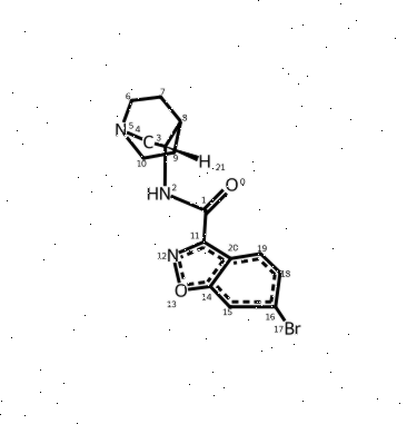 O=C(N[C@@H]1CN2CCC1CC2)c1noc2cc(Br)ccc12